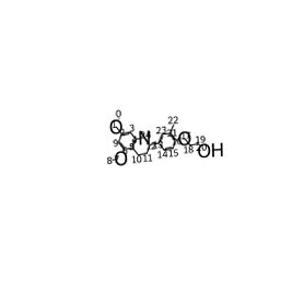 COc1cc2c(c(OC)c1)CCC(c1ccc(OCCO)c(C)c1)=N2